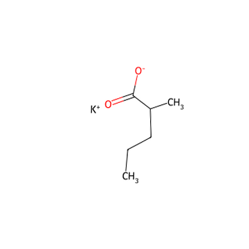 CCCC(C)C(=O)[O-].[K+]